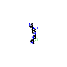 Cc1cc(C2=CC3=C(CN2)CN(Cc2cnc(-c4ccnc(C)c4)c(Cl)c2)C=C3)ccn1